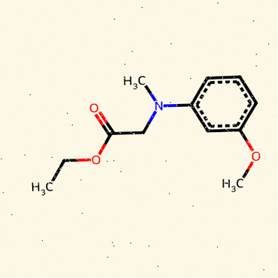 CCOC(=O)CN(C)c1cccc(OC)c1